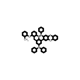 Cc1ccccc1Oc1cccc2c1Cc1cc(N(c3ccccc3)c3ccccc3)cc3c1B2N(c1ccccc1)c1cc2c(cc1-3)Oc1ccccc1S2